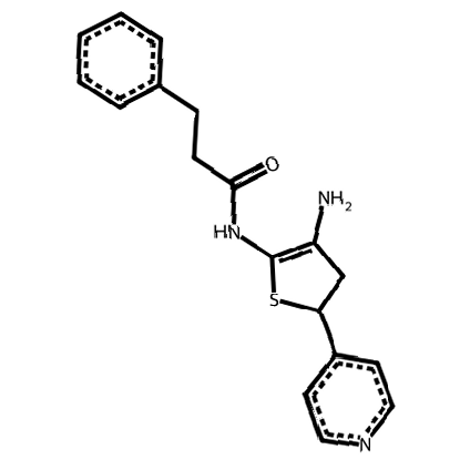 NC1=C(NC(=O)CCc2ccccc2)SC(c2ccncc2)C1